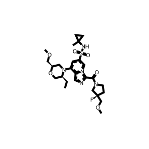 CC[C@H]1CO[C@@H](COC)CN1c1cc(S(=O)(=O)NC2(C)CC2)cn2c(C(=O)N3CC[C@](F)(COC)C3)ncc12